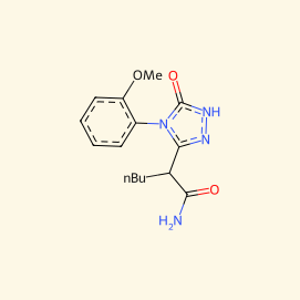 CCCCC(C(N)=O)c1n[nH]c(=O)n1-c1ccccc1OC